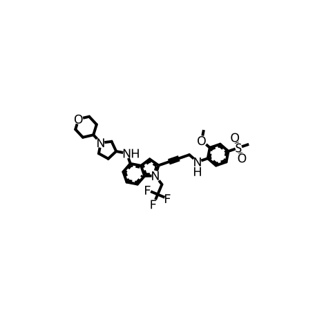 COc1cc(S(C)(=O)=O)ccc1NCC#Cc1cc2c(NC3CCN(C4CCOCC4)C3)cccc2n1CC(F)(F)F